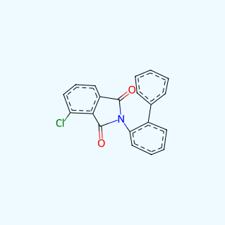 O=C1c2cccc(Cl)c2C(=O)N1c1ccccc1-c1ccccc1